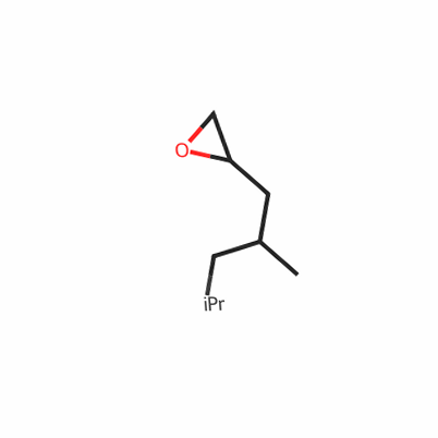 CC(C)CC(C)CC1CO1